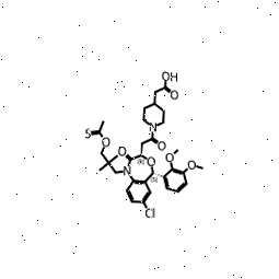 COc1cccc([C@H]2O[C@H](CC(=O)N3CCC(CC(=O)O)CC3)C(=O)N(CC(C)(C)COC(C)=S)c3ccc(Cl)cc32)c1OC